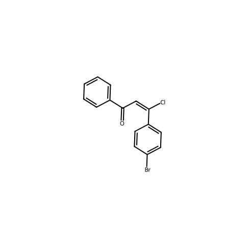 O=C(/C=C(/Cl)c1ccc(Br)cc1)c1ccccc1